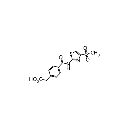 CS(=O)(=O)c1csc(NC(=O)c2ccc(CC(=O)O)cc2)n1